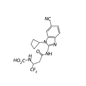 N#Cc1ccc2nc(NC(=O)CC(NC(=O)O)C(F)(F)F)n(C3CCC3)c2c1